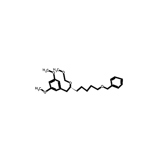 COCO[C@H](CCCCCOCc1ccccc1)Cc1cc(OC)cc(OC)c1